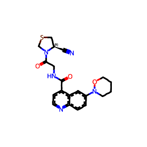 N#C[C@@H]1CSCN1C(=O)CNC(=O)c1ccnc2ccc(N3CCCCO3)cc12